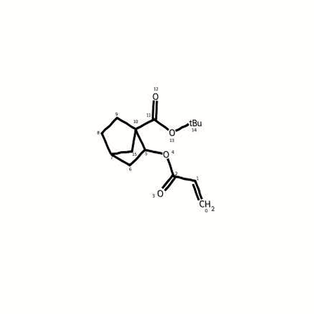 C=CC(=O)OC1CC2CCC1(C(=O)OC(C)(C)C)C2